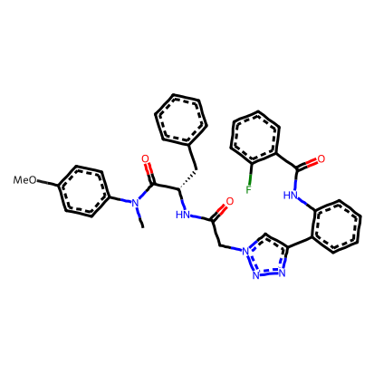 COc1ccc(N(C)C(=O)[C@H](Cc2ccccc2)NC(=O)Cn2cc(-c3ccccc3NC(=O)c3ccccc3F)nn2)cc1